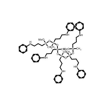 CO[Si](C)(CCCNc1ccccc1)O[Si](C)(CCCNc1ccccc1)O[Si](C)(CCCNc1ccccc1)O[Si](C)(CCCNc1ccccc1)O[Si](C)(CCCNc1ccccc1)O[Si](C)(CCCNc1ccccc1)OC